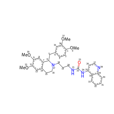 COc1ccc(CC2c3cc(OC)c(OC)cc3CCN2CCCNC(=O)Nc2ccnc3ccccc23)cc1OC